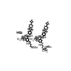 CN(CCNCc1ccc(N(C)S(C)(=O)=O)c(C(=O)Nc2ccc(S(=O)(=O)N3CCC(C4CCC4)CC3)cc2)c1)C(=O)OC(C)(C)C.CNCCNCc1ccc(N(C)S(C)(=O)=O)c(C(=O)Nc2ccc(S(=O)(=O)N3CCC(C4CCC4)CC3)cc2)c1.Cl.Cl